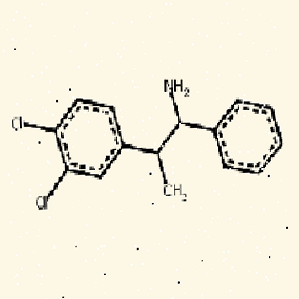 CC(c1ccc(Cl)c(Cl)c1)C(N)c1ccccc1